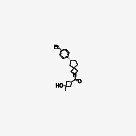 CCc1ccc([C@@H]2CCC3(C2)CN(C(=O)C2CC(C)(O)C2)C3)cc1